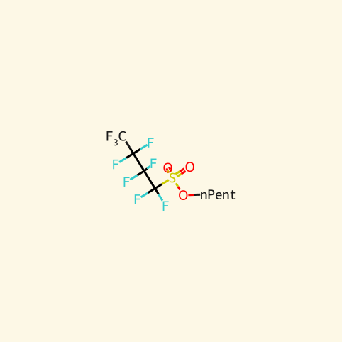 CCCCCOS(=O)(=O)C(F)(F)C(F)(F)C(F)(F)C(F)(F)F